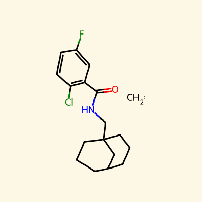 O=C(NCC12CCCC(CCC1)C2)c1cc(F)ccc1Cl.[CH2]